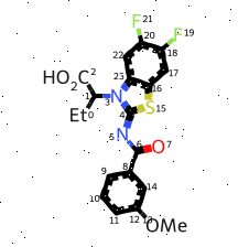 CCC(C(=O)O)n1/c(=N/C(=O)c2cccc(OC)c2)sc2cc(F)c(F)cc21